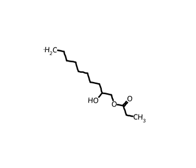 [CH2]CCCCCCCC(O)COC(=O)CC